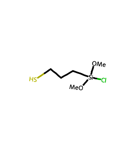 CO[Si](Cl)(CCCS)OC